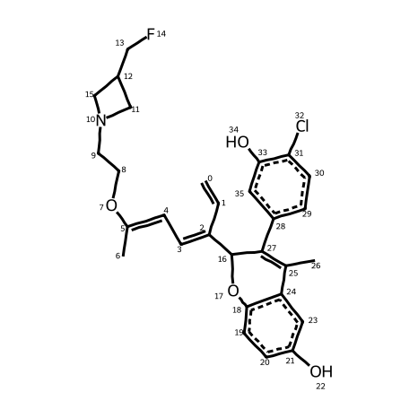 C=C/C(=C\C=C(/C)OCCN1CC(CF)C1)C1Oc2ccc(O)cc2C(C)=C1c1ccc(Cl)c(O)c1